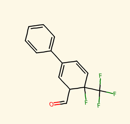 O=CC1C=C(c2ccccc2)C=CC1(F)C(F)(F)F